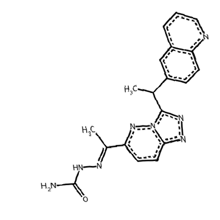 CC(=NNC(N)=O)c1ccc2nnc(C(C)c3ccc4ncccc4c3)n2n1